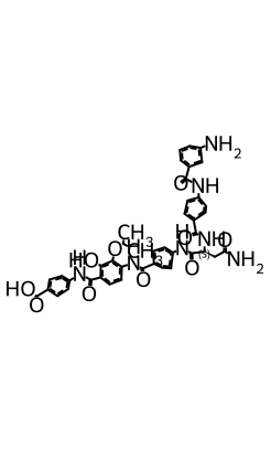 CC(C)Oc1c(NC(=O)c2ccc(NC(=O)[C@H](CC(N)=O)NC(=O)c3ccc(NC(=O)c4cccc(N)c4)cc3)cc2)ccc(C(=O)Nc2ccc(C(=O)O)cc2)c1O